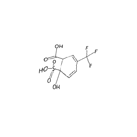 O=C(O)C1C=C(C(F)(F)F)C=CC1(O)S(=O)(=O)O